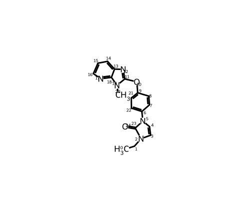 CCn1ccn(-c2ccc(Oc3nc4cccnc4n3C)cc2)c1=O